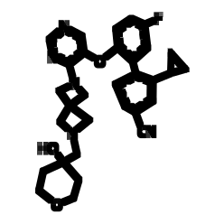 N#Cc1ccc(-c2cc(F)ccc2Oc2cncnc2N2CC3(CN(CC4(O)CCOCC4)C3)C2)c(C2CC2)c1